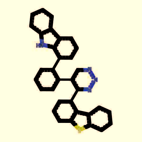 c1ccc(-c2cccc3c2[nH]c2ccccc23)c(-c2cnnnc2-c2cccc3sc4ccccc4c23)c1